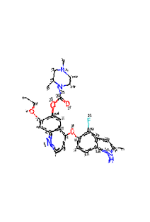 CCOc1cc2nccc(Oc3ccc4[nH]c(C)cc4c3F)c2cc1OC(=O)N1CCN(C)CC1C